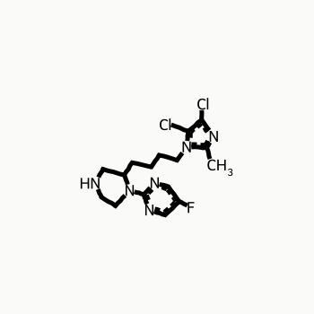 Cc1nc(Cl)c(Cl)n1CCCCC1CNCCN1c1ncc(F)cn1